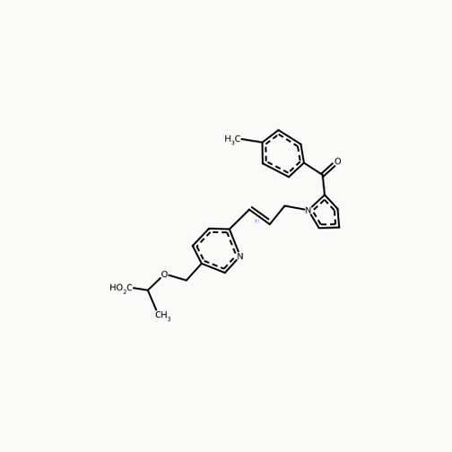 Cc1ccc(C(=O)c2cccn2C/C=C/c2ccc(COC(C)C(=O)O)cn2)cc1